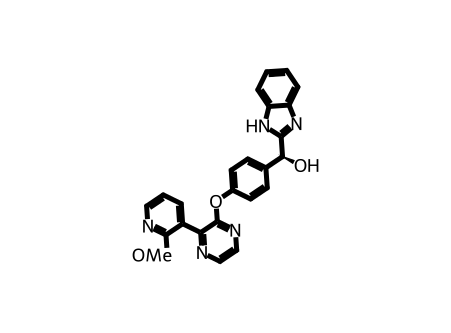 COc1ncccc1-c1nccnc1Oc1ccc([C@H](O)c2nc3ccccc3[nH]2)cc1